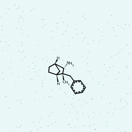 C[C@@]1(Cc2ccccc2)[C@@H]2CC[C@@H](C2)[C@@H]1N